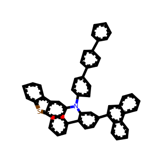 c1ccc(-c2ccc(-c3ccc(N(c4ccc5sc6ccccc6c5c4)c4cc(-c5cc6ccccc6c6ccccc56)ccc4-c4ccccc4)cc3)cc2)cc1